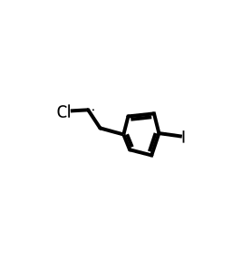 Cl[CH]Cc1ccc(I)cc1